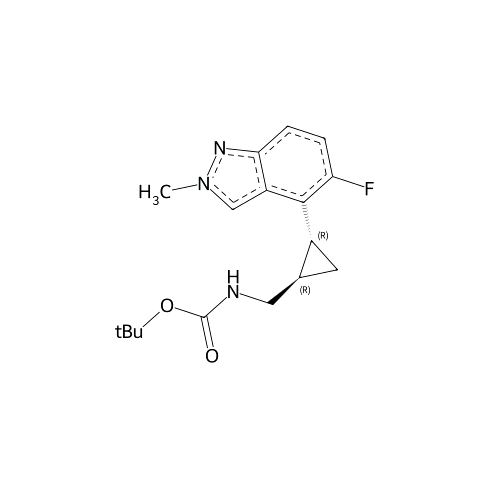 Cn1cc2c([C@@H]3C[C@H]3CNC(=O)OC(C)(C)C)c(F)ccc2n1